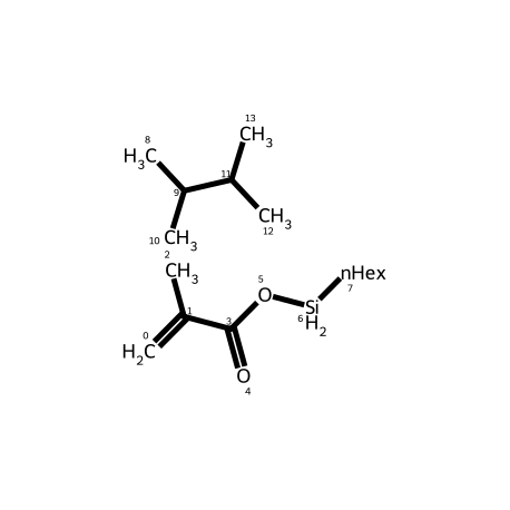 C=C(C)C(=O)O[SiH2]CCCCCC.CC(C)C(C)C